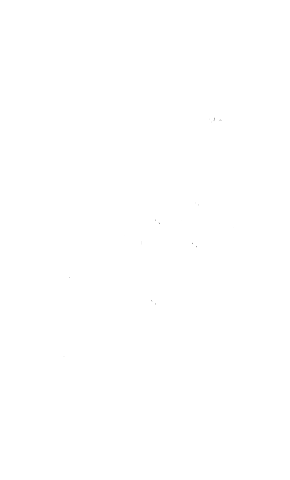 COc1ccc(CN2C(=O)C3=C(CCN(Cc4cc(Cl)cc(Cl)c4)C3)N3CCCN=C23)cc1